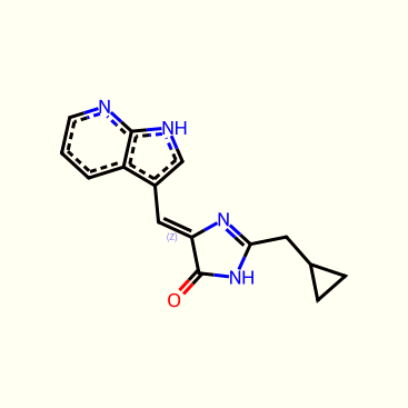 O=C1NC(CC2CC2)=N/C1=C\c1c[nH]c2ncccc12